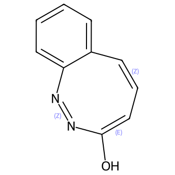 OC1=C/C=C\c2ccccc2/N=N\1